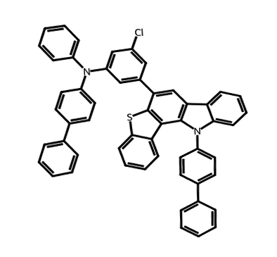 Clc1cc(-c2cc3c4ccccc4n(-c4ccc(-c5ccccc5)cc4)c3c3c2sc2ccccc23)cc(N(c2ccccc2)c2ccc(-c3ccccc3)cc2)c1